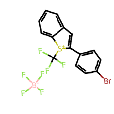 FC(F)(F)[s+]1c(-c2ccc(Br)cc2)cc2ccccc21.F[B-](F)(F)F